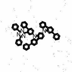 c1ccc(-c2ccc3c4ccccc4n(-c4ccc5c6ccc(-c7ccccc7)cc6n(-c6ccc(-c7ccccc7)c(-c7nc(-c8ccccc8)nc(-c8ccccc8)n7)c6)c5c4)c3c2)cc1